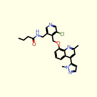 CCCC(=O)NCc1cncc(Cl)c1COc1cccc2c(-c3ccnn3C)cc(C)nc12